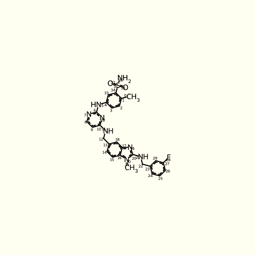 Cc1ccc(Nc2nccc(NCc3ccc4c(c3)nc(NCc3cccc(F)c3)n4C)n2)cc1S(N)(=O)=O